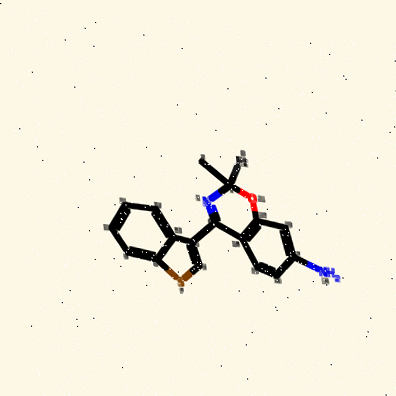 CCC1(C)N=C(c2csc3ccccc23)c2ccc(N)cc2O1